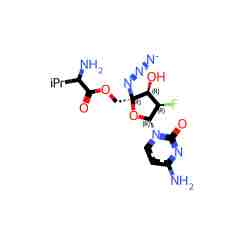 CC(C)C(N)C(=O)OC[C@@]1(N=[N+]=[N-])O[C@@H](n2ccc(N)nc2=O)[C@H](F)[C@@H]1O